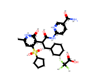 Cc1cc(S(=O)(=O)C2CCCC2)c(C(CC2CCCCC2)C(=O)Nc2ccc(C(N)=O)cn2)c(=O)[nH]1.O=C(O)C(F)(F)F